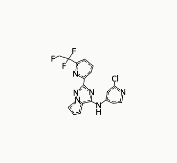 FCC(F)(F)c1cccc(-c2nc(Nc3ccnc(Cl)c3)c3cccn3n2)n1